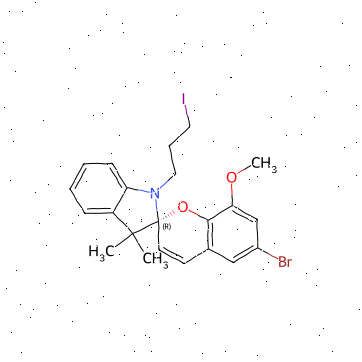 COc1cc(Br)cc2c1O[C@@]1(C=C2)N(CCCI)c2ccccc2C1(C)C